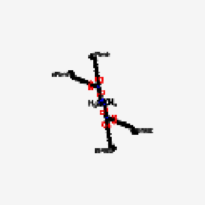 CCCCC/C=C\C/C=C\CCCCCCCCOC(=O)CCN(CCC(=O)OCCCCCCCC/C=C\C/C=C\CCCCC)CCC(=O)OCCN1CC(C)N(CCOC(=O)CCN(CCC(=O)OCCCCCCCC/C=C\C/C=C\CCCCC)CCC(=O)OCCCCCCCC/C=C\C/C=C\CCCCC)CC1C